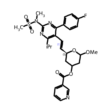 COC1CC(OC(=O)c2cccnc2)C[C@@H](/C=C/c2c(-c3ccc(F)cc3)nc(N(C)S(C)(=O)=O)nc2C(C)C)O1